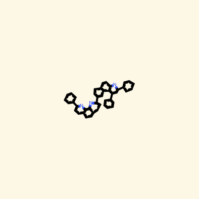 c1ccc(-c2cc(-c3ccccc3)c3c(ccc4ccc(-c5ccc6ccc7ccc(-c8ccccc8)nc7c6n5)cc43)n2)cc1